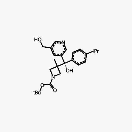 CC(C)c1ccc([C@](O)(c2cncc(CO)c2)C2(C)CN(C(=O)OC(C)(C)C)C2)cc1